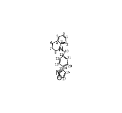 c1ccc2c(c1)CCCN2Cc1ccc(-c2ccon2)cc1